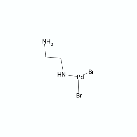 NCC[NH][Pd]([Br])[Br]